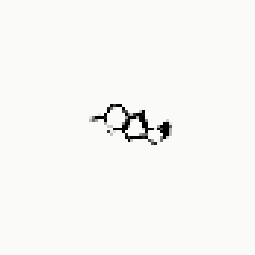 O=C1CCc2cc3ccoc3cc2O1